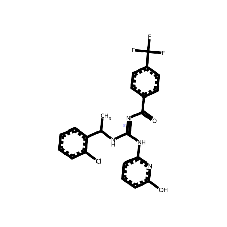 CC(N/C(=N/C(=O)c1ccc(C(F)(F)F)cc1)Nc1cccc(O)n1)c1ccccc1Cl